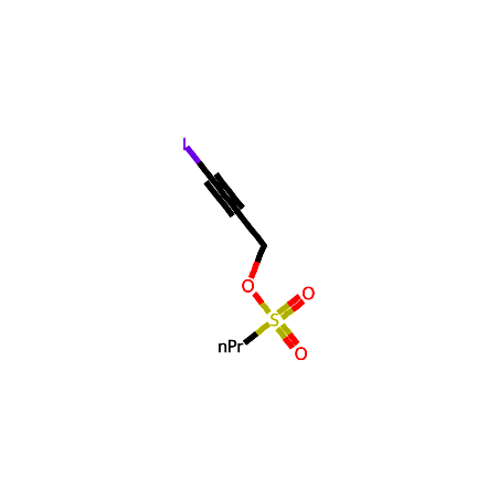 CCCS(=O)(=O)OCC#CI